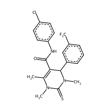 CC1=C(C(=O)Nc2ccc(Cl)cc2)C(c2cccc(C(F)(F)F)c2)N(C)C(=S)N1C